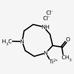 CC(=O)C1CNCCN(C)CC[N]1[Ti+2].[Cl-].[Cl-]